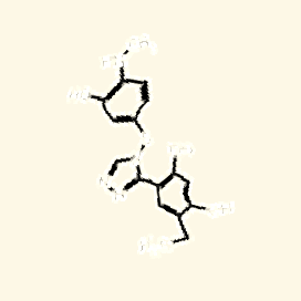 CCc1cc(-c2nncn2Sc2ccc(NC)c(O)c2)c(O)cc1O